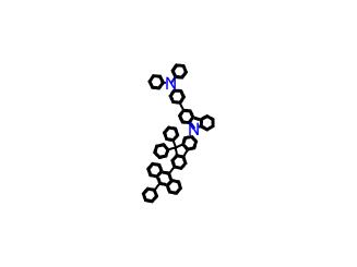 c1ccc(-c2c3ccccc3c(-c3ccc4c(c3)C(c3ccccc3)(c3ccccc3)c3cc(-n5c6ccccc6c6cc(-c7ccc(N(c8ccccc8)c8ccccc8)cc7)ccc65)ccc3-4)c3ccccc23)cc1